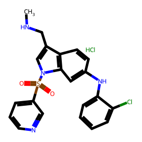 CNCc1cn(S(=O)(=O)c2cccnc2)c2cc(Nc3ccccc3Cl)ccc12.Cl